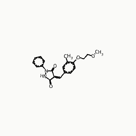 COCCOc1ccc(C=C2C(=O)NN(c3ccccc3)C2=O)cc1C